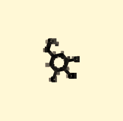 C=Nc1cc(Cl)c(C#N)c(Cl)c1